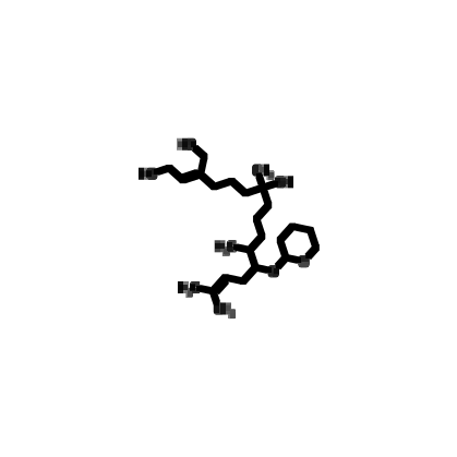 CC(C)=CCC(OC1CCCCO1)C(C)CCCC(C)(O)CCCC(=CCO)CO